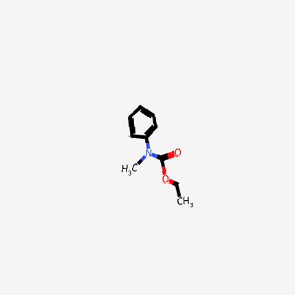 CCOC(=O)N(C)c1[c]cccc1